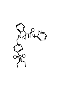 CCN(CC)S(=O)(=O)c1ccc(Cn2nc(C(=O)Nc3ccccn3)c3ccccc32)cc1